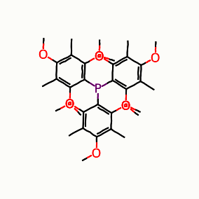 COc1c(C)c(OC)c(P(c2c(OC)c(C)c(OC)c(C)c2OC)c2c(OC)c(C)c(OC)c(C)c2OC)c(OC)c1C